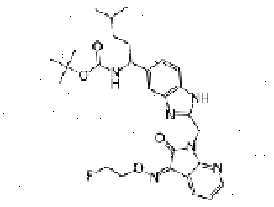 CC(C)CCC(NC(=O)OC(C)(C)C)c1ccc2[nH]c(CN3C(=O)C(=NOCCF)c4cccnc43)nc2c1